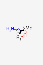 CNC(=O)[C@@H](NCON)[C@@H](C)O